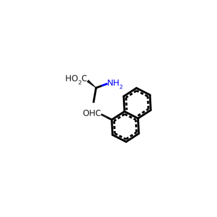 C[C@H](N)C(=O)O.O=Cc1cccc2ccccc12